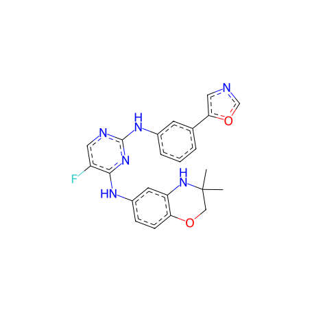 CC1(C)COc2ccc(Nc3nc(Nc4cccc(-c5cnco5)c4)ncc3F)cc2N1